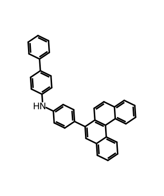 c1ccc(-c2ccc(Nc3ccc(-c4cc5ccccc5c5c4ccc4ccccc45)cc3)cc2)cc1